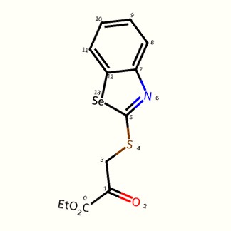 CCOC(=O)C(=O)CSc1nc2ccccc2[se]1